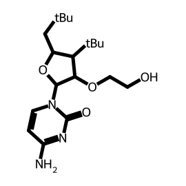 CC(C)(C)CC1OC(n2ccc(N)nc2=O)C(OCCO)C1C(C)(C)C